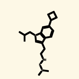 CC(C)Cn1cc(CCNSN(C)C)c2ccc(C3CCC3)cc21